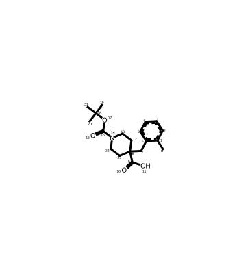 Cc1ccccc1CC1(C(=O)O)CCN(C(=O)OC(C)(C)C)CC1